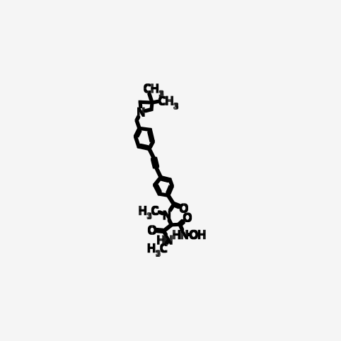 CNC(=O)C(C(=O)NO)N(C)C(=O)c1ccc(C#Cc2ccc(CN3CC(C)(C)C3)cc2)cc1